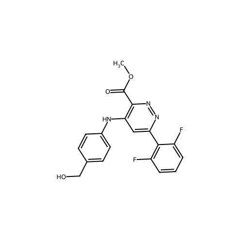 COC(=O)c1nnc(-c2c(F)cccc2F)cc1Nc1ccc(CO)cc1